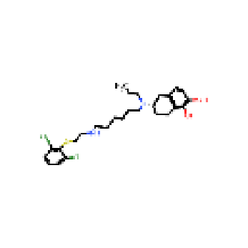 CCCN(CCCCCCNCCSc1c(Cl)cccc1Cl)[C@H]1CCc2c(ccc(O)c2O)C1